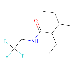 CCC(C)C(CC)C(=O)NCC(F)(F)F